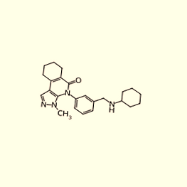 Cn1ncc2c3c(c(=O)n(-c4cccc(CNC5CCCCC5)c4)c21)CCCC3